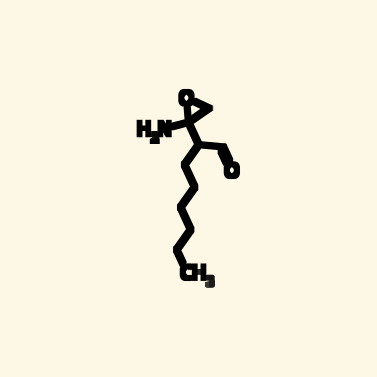 CCCCCCC(C=O)C1(N)CO1